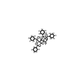 O=C(OC[C@@]1(C(F)F)OC(OC(=O)c2ccccc2)C(OC(=O)c2ccccc2)[C@@H]1OC(=O)c1ccccc1)c1ccccc1